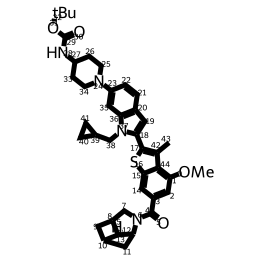 COc1cc(C(=O)N2CC3CC4CC2[C@H]43)cc2sc(-c3cc4ccc(N5CCC(NC(=O)OC(C)(C)C)CC5)cc4n3CC3CC3)c(C)c12